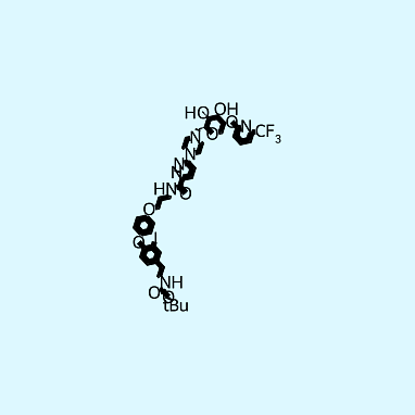 CC(C)(C)OC(=O)NCCc1ccc(Oc2ccc(OCCCNC(=O)c3ccc(N4CCN(C[C@H]5OC[C@H](Oc6cccc(C(F)(F)F)n6)[C@@H](O)[C@H]5O)CC4)nn3)cc2)c(I)c1